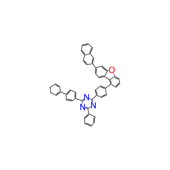 C1=CC(c2ccc(-c3nc(-c4ccccc4)nc(-c4ccc(-c5cccc6oc7cc(-c8ccc9ccccc9c8)ccc7c56)cc4)n3)cc2)=CCC1